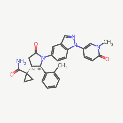 Cc1ccccc1[C@H]1[C@H](C2(C(N)=O)CC2)CC(=O)N1c1ccc2c(cnn2-c2ccc(=O)n(C)c2)c1